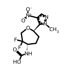 Cn1ncc([N+](=O)[O-])c1[C@H]1CC[C@H](NC(=O)O)C(F)(F)CO1